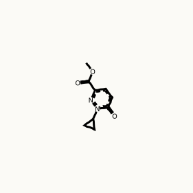 COC(=O)c1ccc(=O)n(C2CC2)n1